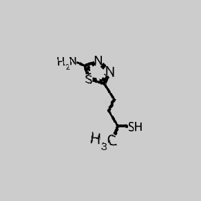 CC(S)CCc1nnc(N)s1